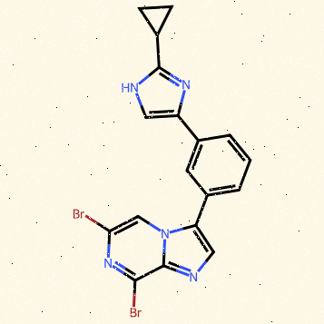 Brc1cn2c(-c3cccc(-c4c[nH]c(C5CC5)n4)c3)cnc2c(Br)n1